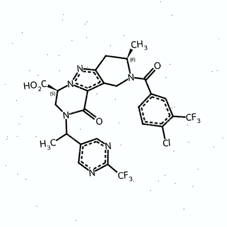 CC(c1cnc(C(F)(F)F)nc1)N1C[C@@H](C(=O)O)n2nc3c(c2C1=O)CN(C(=O)c1ccc(Cl)c(C(F)(F)F)c1)[C@H](C)C3